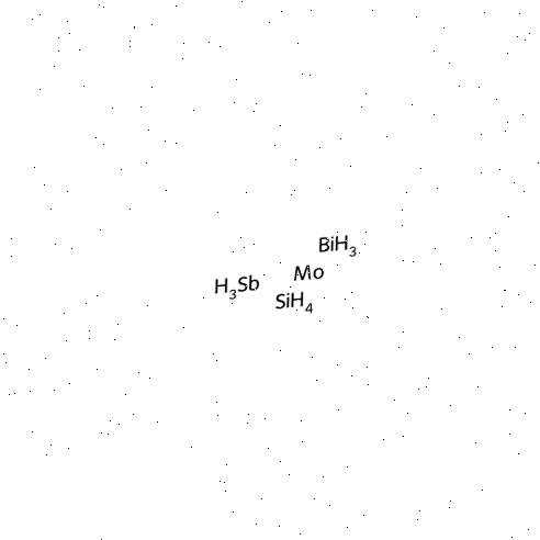 [BiH3].[Mo].[SbH3].[SiH4]